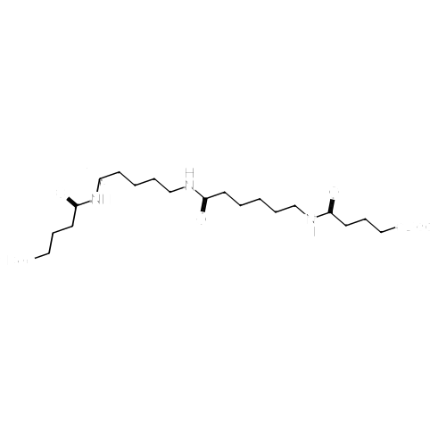 CCCCCCCCCCCCCC(=O)NCCCCCC(=O)NCCCC[C@@H](C)NC(=O)CCCCCCCCCCCCC